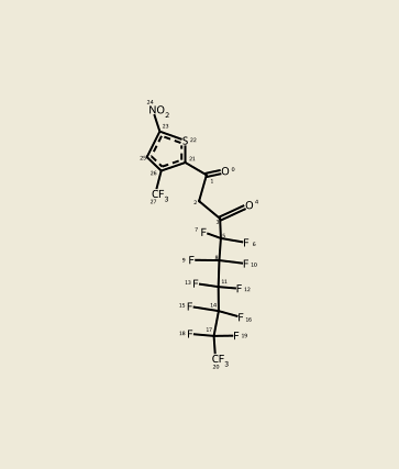 O=C(CC(=O)C(F)(F)C(F)(F)C(F)(F)C(F)(F)C(F)(F)C(F)(F)F)c1sc([N+](=O)[O-])cc1C(F)(F)F